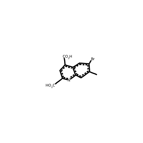 Cc1cc2nc(C(=O)O)cc(C(=O)O)c2cc1Br